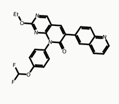 CCOc1ncc2cc(-c3ccc4ncccc4c3)c(=O)n(-c3ccc(OC(F)F)cc3)c2n1